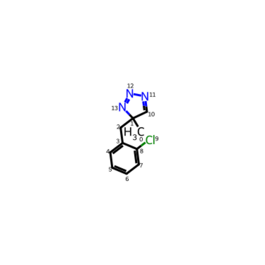 CC1(Cc2ccccc2Cl)C=NN=N1